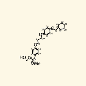 CO[C@@H](Cc1ccc(OCCCOc2ccc(OCC3CCCCC3)cc2)cc1)C(=O)O